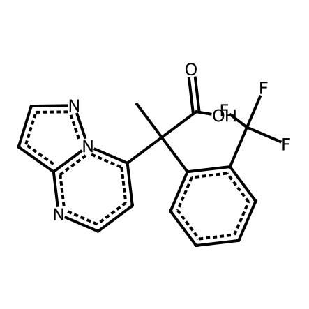 CC(C(=O)O)(c1ccccc1C(F)(F)F)c1ccnc2ccnn12